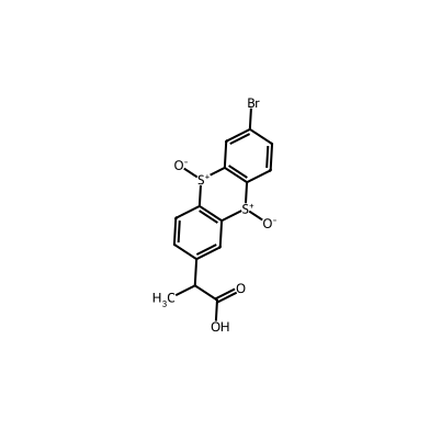 CC(C(=O)O)c1ccc2c(c1)[S+]([O-])c1ccc(Br)cc1[S+]2[O-]